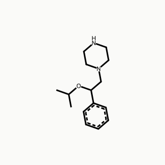 CC(C)OC(CN1CCNCC1)c1ccccc1